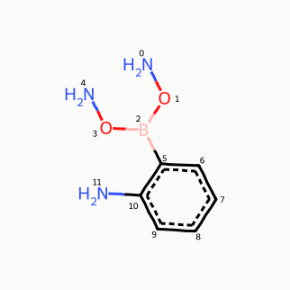 NOB(ON)c1ccccc1N